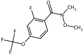 CON(C)C(=O)c1ccc(OC(F)(F)F)cc1F